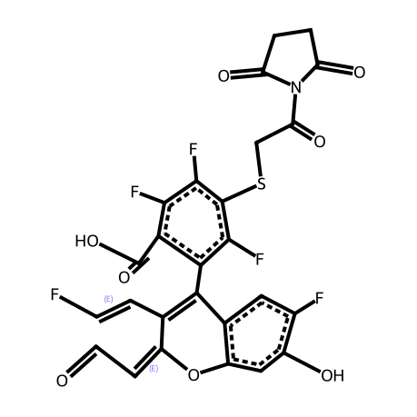 O=C/C=C1/Oc2cc(O)c(F)cc2C(c2c(F)c(SCC(=O)N3C(=O)CCC3=O)c(F)c(F)c2C(=O)O)=C1/C=C/F